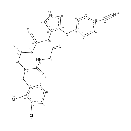 C=CCNC(=S)N(Cc1cccc(Cl)c1Cl)C[C@H](C)NC(=O)Cc1cncn1Cc1ccc(C#N)cc1